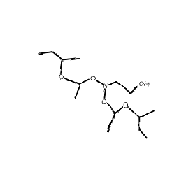 CCC(C)OC(C)ON(CCO)OC(C)OC(C)CC